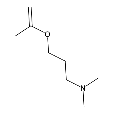 C=C(C)OCCCN(C)C